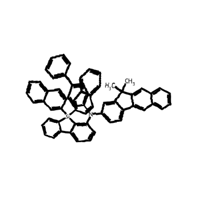 CC1(C)c2cc(N(c3ccc(-c4ccccc4)cc3)c3cccc4c3[Si](c3ccc5ccccc5c3)(c3ccc5ccccc5c3)c3ccccc3-4)ccc2-c2cc3ccccc3cc21